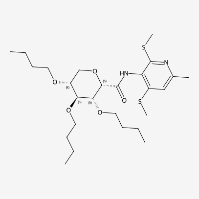 CCCCO[C@@H]1[C@@H](OCCCC)[C@H](OCCCC)CO[C@@H]1C(=O)Nc1c(SC)cc(C)nc1SC